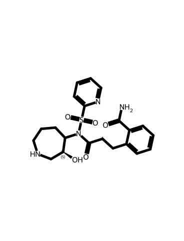 NC(=O)c1ccccc1C[CH]C(=O)N(C1CCCNC[C@@H]1O)S(=O)(=O)c1ccccn1